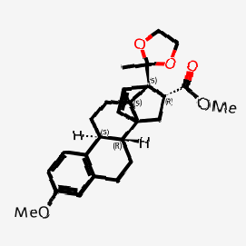 COC(=O)[C@@H]1CC23C=C[C@@]1(C1(C)OCCO1)[C@@]2(C)CC[C@@H]1c2ccc(OC)cc2CC[C@H]13